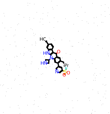 C#Cc1ccc2c(c1)[nH]c1c2c(=O)c2cc(CC(C)C)c(-c3cncc(S(=O)(=O)F)c3)cc2n1C1CNC1